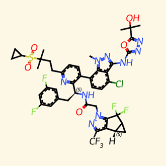 Cn1nc(Nc2nnc(C(C)(C)O)o2)c2c(Cl)ccc(-c3ccc(CCC(C)(C)S(=O)(=O)C4CC4)nc3[C@H](Cc3cc(F)cc(F)c3)NC(=O)Cn3nc(C(F)(F)F)c4c3C(F)(F)C3C[C@H]43)c21